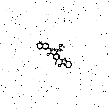 C[C@H](Oc1cc(-n2nc3n(c2=O)CCCC3)c(F)cc1C(=O)Nc1ccc2ncccc2c1)C(F)(F)F